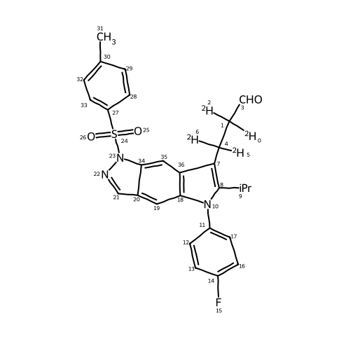 [2H]C([2H])(C=O)C([2H])([2H])c1c(C(C)C)n(-c2ccc(F)cc2)c2cc3cnn(S(=O)(=O)c4ccc(C)cc4)c3cc12